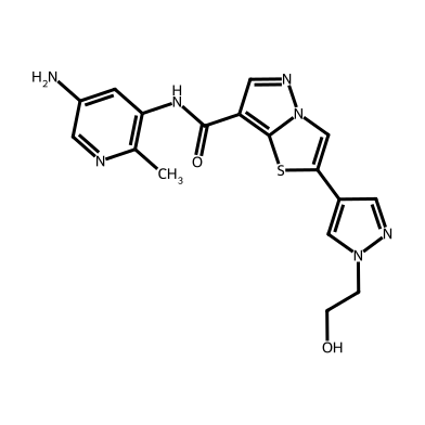 Cc1ncc(N)cc1NC(=O)c1cnn2cc(-c3cnn(CCO)c3)sc12